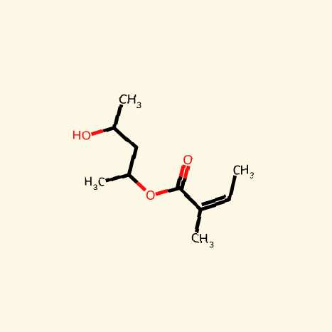 CC=C(C)C(=O)OC(C)CC(C)O